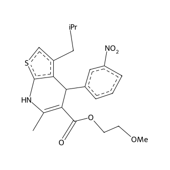 COCCOC(=O)C1=C(C)Nc2scc(CC(C)C)c2C1c1cccc([N+](=O)[O-])c1